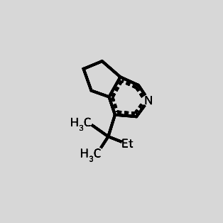 CCC(C)(C)c1cncc2c1CCC2